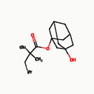 CC(C)CC(C)(C(=O)OC12CC3CC(CC(O)(C3)C1)C2)C(C)(C)C